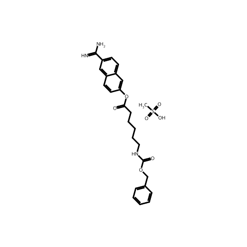 CS(=O)(=O)O.N=C(N)c1ccc2cc(OC(=O)CCCCCNC(=O)OCc3ccccc3)ccc2c1